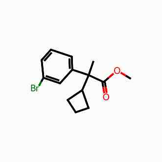 COC(=O)C(C)(c1cccc(Br)c1)C1CCC1